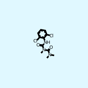 CN(C)C(=O)N(C)C(=O)Nc1c(Cl)cccc1Cl